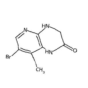 Cc1c(Br)cnc2c1NC(=O)CN2